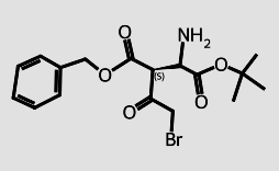 CC(C)(C)OC(=O)C(N)[C@@H](C(=O)CBr)C(=O)OCc1ccccc1